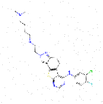 CN(C)CCCCNCCn1cc2c(n1)CCc1c-2sc2ncnc(Nc3ccc(F)c(Cl)c3)c12